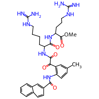 COC(=O)C(CCCNC(=N)N)NC(=O)C(CCCCNC(=N)N)NC(=O)C(=O)c1cc(C)ccc1NC(=O)c1ccc2ccccc2c1